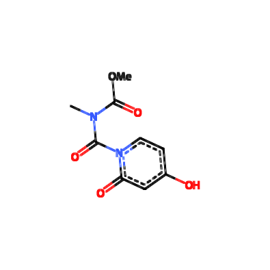 COC(=O)N(C)C(=O)n1ccc(O)cc1=O